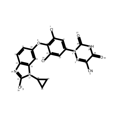 N#Cc1nn(-c2cc(Cl)c(Oc3ccc4nc(C(F)(F)F)n(C5CC5)c4c3)c(Cl)c2)c(=O)[nH]c1=O